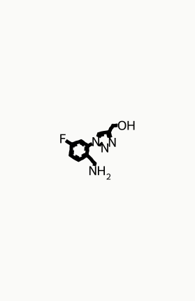 NCc1ccc(F)cc1-n1cc(CO)nn1